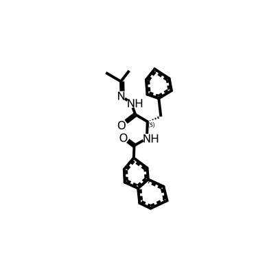 CC(C)=NNC(=O)[C@H](Cc1ccccc1)NC(=O)c1ccc2ccccc2c1